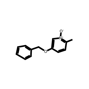 Cc1ccc(OCc2ccccc2)c[n+]1[O-]